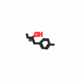 CC[C@@H](O)Cc1ccc(C)cc1